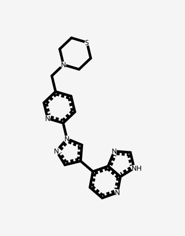 c1cc(-c2cnn(-c3ccc(CN4CCSCC4)cn3)c2)c2nc[nH]c2n1